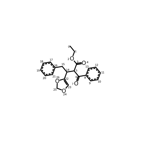 CCOC(=O)C(C(=O)c1ccccc1)C(Cc1ccccc1)C1=COCO1